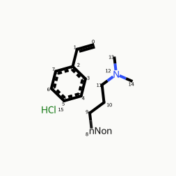 C=Cc1ccccc1.CCCCCCCCCCCCN(C)C.Cl